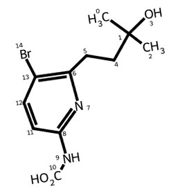 CC(C)(O)CCc1nc(NC(=O)O)ccc1Br